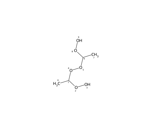 CC(OO)OOC(C)OO